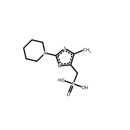 Cc1sc(N2CCCCC2)nc1CP(=O)(O)O